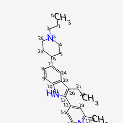 CCCN1CCC(c2ccc3[nH]c(-c4ccnc(C)c4)c(CC)c3c2)CC1